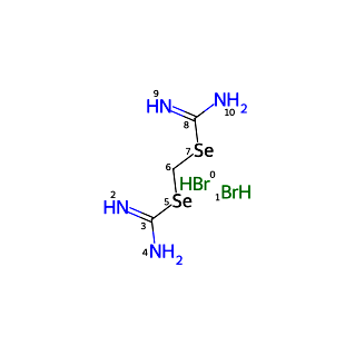 Br.Br.N=C(N)[Se]C[Se]C(=N)N